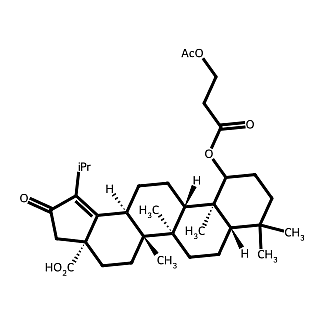 CC(=O)OCCC(=O)OC1CCC(C)(C)[C@@H]2CC[C@]3(C)[C@H](CC[C@@H]4C5=C(C(C)C)C(=O)C[C@]5(C(=O)O)CC[C@]43C)[C@@]12C